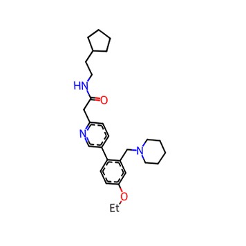 CCOc1ccc(-c2ccc(CC(=O)NCCC3CCCC3)nc2)c(CN2CCCCC2)c1